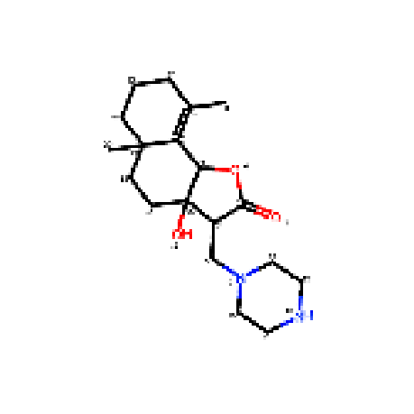 CC1=C2C3OC(=O)C(CN4CCNCC4)C3(O)CCC2(C)CCC1